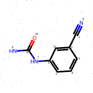 N#Cc1cccc(NC([NH])=O)c1